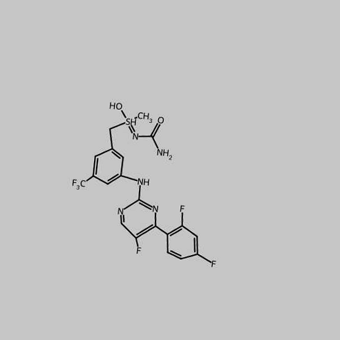 C[SH](O)(Cc1cc(Nc2ncc(F)c(-c3ccc(F)cc3F)n2)cc(C(F)(F)F)c1)=NC(N)=O